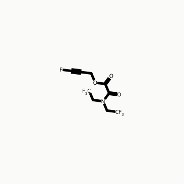 O=C(OCC#CF)C(=O)N(CC(F)(F)F)CC(F)(F)F